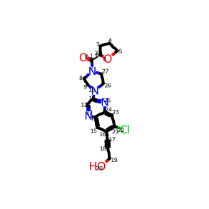 O=C([C@H]1CCCO1)N1CCN(c2cnc3cc(C#CCO)c(Cl)cc3n2)CC1